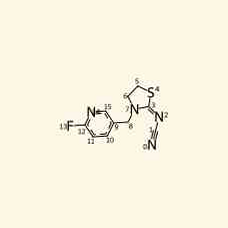 N#C/N=C1/SCCN1Cc1ccc(F)nc1